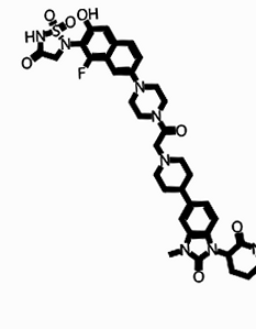 Cn1c(=O)n(C2CCC(=O)NC2=O)c2ccc(C3CCN(CC(=O)N4CCN(c5ccc6cc(O)c(N7CC(=O)NS7(=O)=O)c(F)c6c5)CC4)CC3)cc21